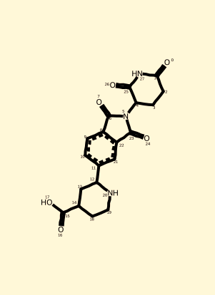 O=C1CCC(N2C(=O)c3ccc(C4CC(C(=O)O)CCN4)cc3C2=O)C(=O)N1